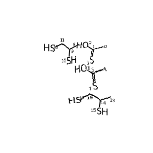 CC(O)=S.CC(O)=S.CC(S)CS.CC(S)CS